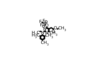 CCOC(=O)Cc1c(C)nc(N(CC)c2c(C)cc(C)cc2C)nc1OS(=O)(=O)C(F)(F)F